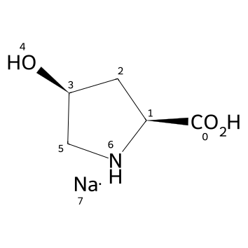 O=C(O)[C@@H]1C[C@H](O)CN1.[Na]